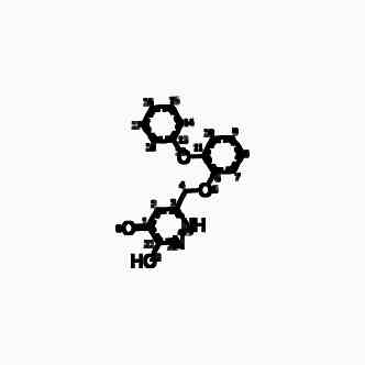 O=c1cc(COc2ccccc2Oc2ccccc2)[nH]nc1O